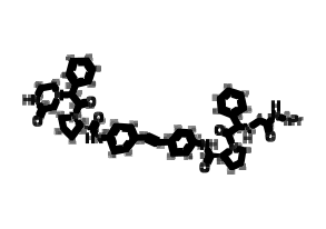 CCCNC(=O)CNC(C(=O)N1CCC[C@H]1C(=O)Nc1ccc(C#Cc2ccc(NC(=O)[C@@H]3CCCN3C(=O)C(c3ccccc3)N3CCNC(=O)C3)cc2)cc1)c1ccccc1